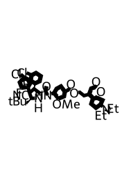 CCN(CC)c1ccc2c(CCOC(=O)c3ccc(NC(=O)[C@@H]4N[C@@H](CC(C)(C)C)[C@](C#N)(c5ccc(Cl)cc5F)[C@H]4c4cccc(Cl)c4F)c(OC)c3)cc(=O)oc2c1